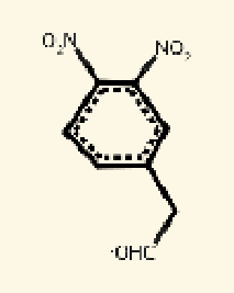 O=[C]Cc1ccc([N+](=O)[O-])c([N+](=O)[O-])c1